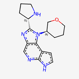 c1cc2c(ncc3nc([C@@H]4CCCN4)n([C@@H]4CCCOC4)c32)[nH]1